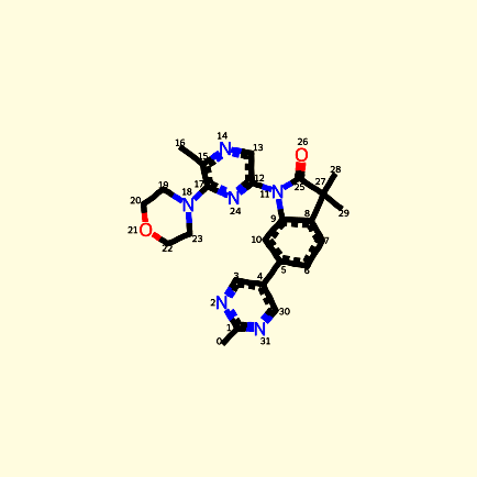 Cc1ncc(-c2ccc3c(c2)N(c2cnc(C)c(N4CCOCC4)n2)C(=O)C3(C)C)cn1